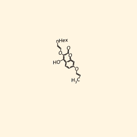 CC=COc1ccc2c(O)c(OC=CCCCCCC)c(=O)oc2c1